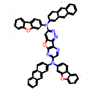 c1ccc2cc3cc(N(c4ccc5c(c4)oc4ccccc45)c4cc5oc6nc(N(c7ccc8cc9ccccc9cc8c7)c7ccc8c(c7)oc7ccccc78)cnc6c5nn4)ccc3cc2c1